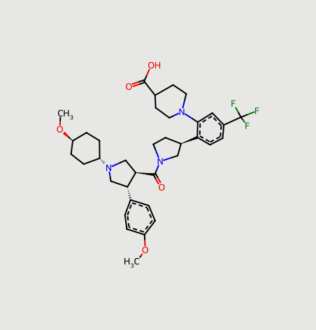 COc1ccc([C@@H]2CN([C@H]3CC[C@H](OC)CC3)C[C@H]2C(=O)N2CC[C@@H](c3ccc(C(F)(F)F)cc3N3CCC(C(=O)O)CC3)C2)cc1